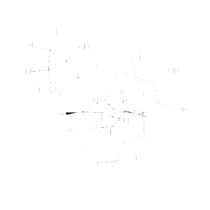 [2H]C(C)(N1C(C)C(C)(C)[C@@]23c4c5c(O)c(C)c(C)c4C(C)(C)[C@@H]1[C@]2(O)CCC(=O)[C@@H]3O5)C1(C)C([2H])([2H])C1([2H])C